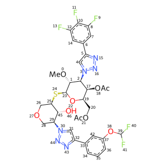 CO[C@@H]1[C@@H](n2cc(-c3cc(F)c(F)c(F)c3)nn2)[C@@H](OC(C)=O)[C@@H](COC(C)=O)O[C@H]1S[C@@H]1COC[C@H](n2cc(-c3cccc(OC(F)F)c3)nn2)[C@H]1O